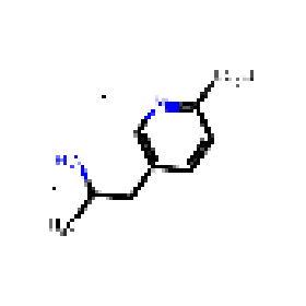 CCOC(=O)c1ccc(CC(C)N)cn1